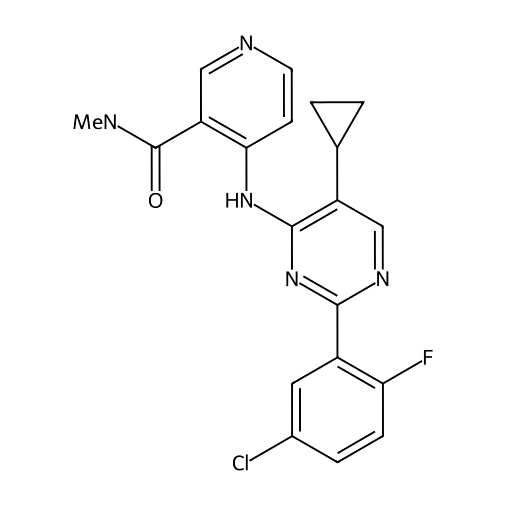 CNC(=O)c1cnccc1Nc1nc(-c2cc(Cl)ccc2F)ncc1C1CC1